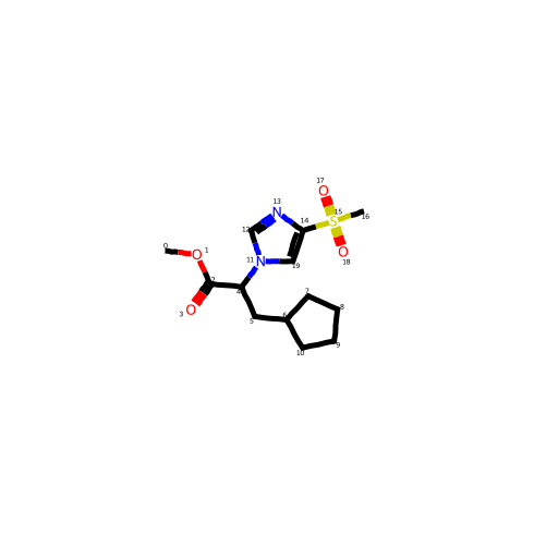 COC(=O)C(CC1CCCC1)n1cnc(S(C)(=O)=O)c1